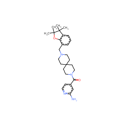 CC1(C)Oc2c(CN3CCC4(CC3)CCN(C(=O)c3ccnc(N)c3)CC4)cccc2C1(C)C